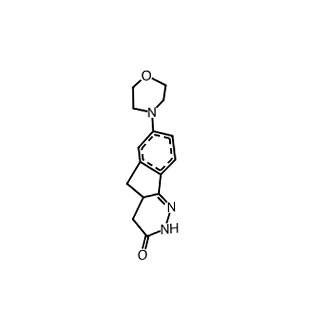 O=C1CC2Cc3cc(N4CCOCC4)ccc3C2=NN1